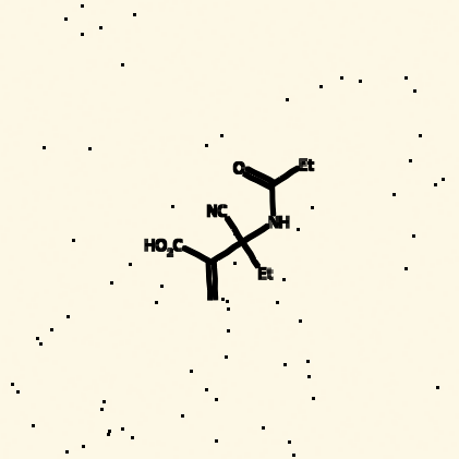 C=C(C(=O)O)C(C#N)(CC)NC(=O)CC